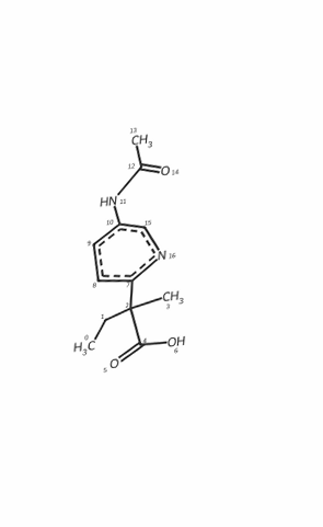 CCC(C)(C(=O)O)c1ccc(NC(C)=O)cn1